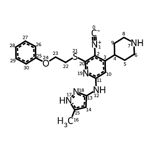 [C-]#[N+]c1c(C2CCNCC2)cc(Nc2cc(C)[nH]n2)nc1SCCOc1ccccc1